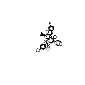 O=C1C(Cc2ccc(F)cc2)N2C(=O)C(N3CCOCC3)CN(S(=O)(=O)c3ccc(Cl)cc3Cl)C2=CN1C1CC1